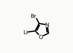 [Li][c]1ocnc1Br